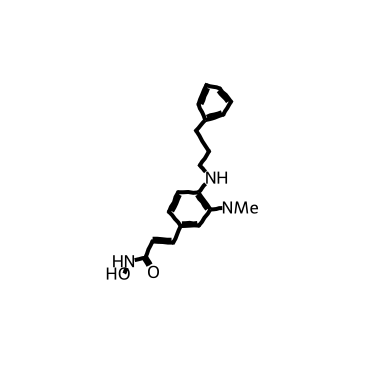 CNc1cc(/C=C/C(=O)NO)ccc1NCCCc1ccccc1